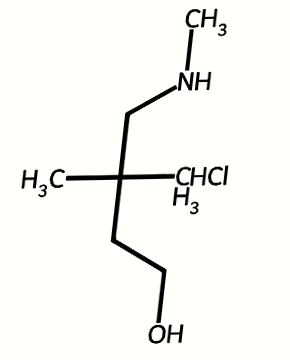 CNCC(C)(C)CCO.Cl